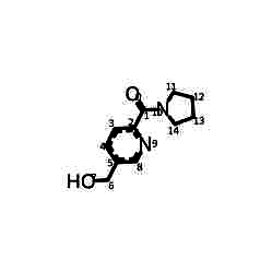 O=C(c1ccc(CO)cn1)N1CCCC1